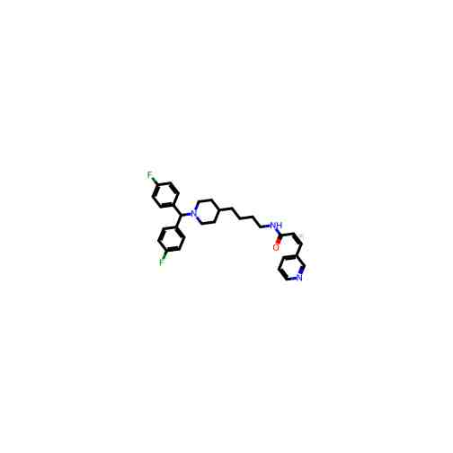 O=C(/C=C\c1cccnc1)NCCCCC1CCN(C(c2ccc(F)cc2)c2ccc(F)cc2)CC1